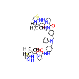 CC(C)(C)[C@H](Nc1nccs1)C(=O)N1CCCC1C(=O)Nc1ccc(CN(Cc2ccc(NC(=O)C3CCCN3C(=O)[C@@H](Nc3nccs3)C(C)(C)C)cc2)c2ccccc2)cc1